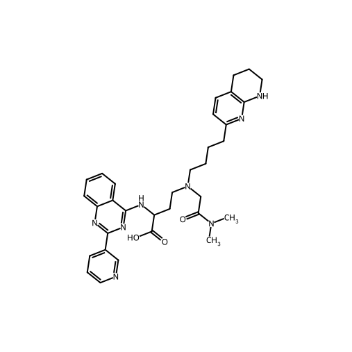 CN(C)C(=O)CN(CCCCc1ccc2c(n1)NCCC2)CCC(Nc1nc(-c2cccnc2)nc2ccccc12)C(=O)O